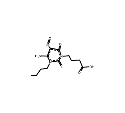 CCCCn1c(N)c(N=O)c(=O)n(CCCC(=O)O)c1=O